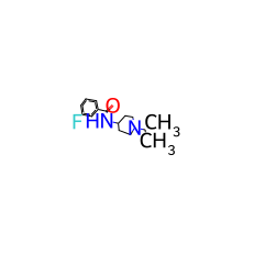 CC(C)N1CCC(NC(=O)c2cccc(F)c2)CC1